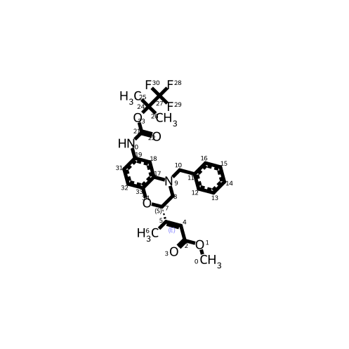 COC(=O)/C=C(\C)[C@H]1CN(Cc2ccccc2)c2cc(NC(=O)OC(C)(C)C(F)(F)F)ccc2O1